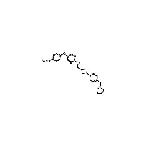 COc1ccc(Oc2cnc(OCC3CC(c4ccc(CN5CCCC5)cc4)C3)nc2)cc1